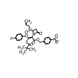 C=CC[S+]([O-])C1CC(=O)N1C(C(=O)OCc1ccc([N+](=O)[O-])cc1)=C(Oc1ccc(F)cc1)SC(=O)C(C)(C)C